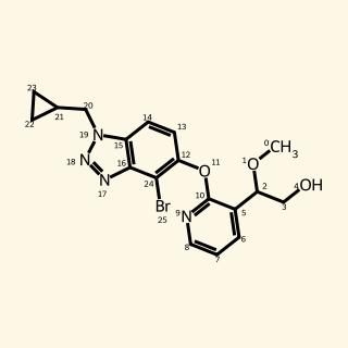 COC(CO)c1cccnc1Oc1ccc2c(nnn2CC2CC2)c1Br